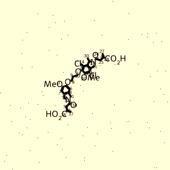 COc1cc2c(cc1OCCCOc1c(Cl)c3c(c(Cl)c1OC)CN(C(=O)C[C@H](C)C(=O)O)C3C)CN(C(=O)C[C@H](C)C(=O)O)C2